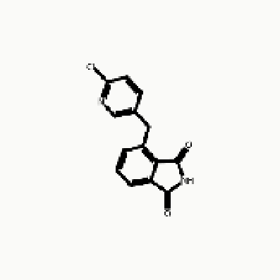 O=C1NC(=O)c2c(Cc3ccc(Cl)nc3)cccc21